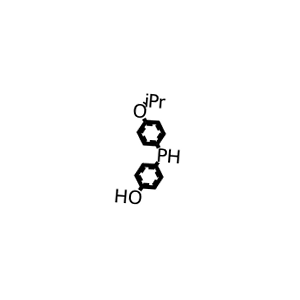 CC(C)Oc1ccc(Pc2ccc(O)cc2)cc1